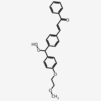 COCCOc1ccc(C(OO)c2ccc(/C=C/C(=O)c3ccccc3)cc2)cc1